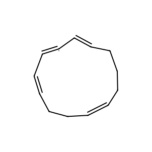 [C]1=C/C=C\CC/C=C\CCC/C=C/1